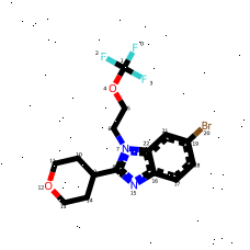 FC(F)(F)OCCn1c(C2CCOCC2)nc2ccc(Br)cc21